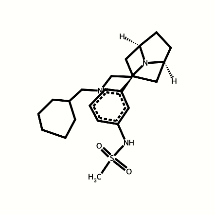 CS(=O)(=O)Nc1cccc([C@H]2C[C@H]3CC[C@@H](C2)N3CCNCC2CCCCC2)c1